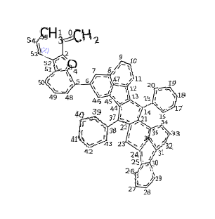 C=Cc1oc2c(-c3cc4cccc5c6c(-c7ccccc7)c7c(cc8c9ccccc9c9cccc7c98)c(-c7ccccc7)c6c(c3)c45)cccc2c1/C=C\C